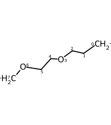 [CH2]CCOCCO[CH2]